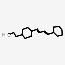 CCCC1CCC(C=CC=CC2CCCCC2)CC1